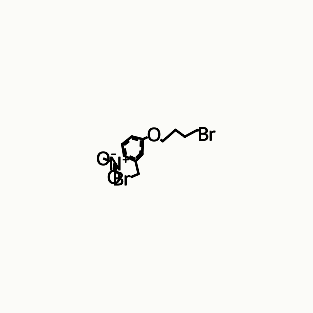 O=[N+]([O-])c1ccc(OCCCCBr)cc1CBr